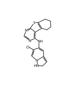 ClC1=CN2NCC=C2C=C1Nc1ncnc2sc3c(c12)CCCC3